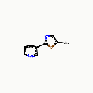 CCCCc1cnc(-c2cccnc2)s1